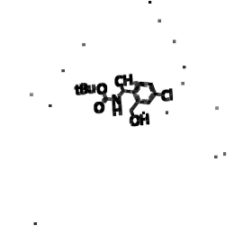 CC(NC(=O)OC(C)(C)C)c1ccc(Cl)cc1CO